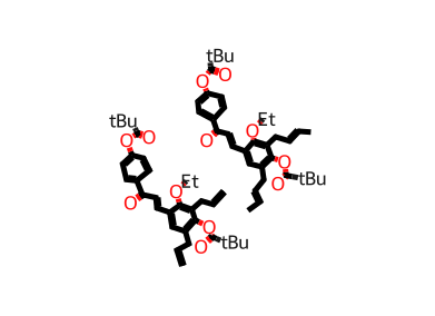 C=CCc1cc(C=CC(=O)c2ccc(OC(=O)C(C)(C)C)cc2)c(OCC)c(CC=C)c1OC(=O)C(C)(C)C.CC=CCc1cc(C=CC(=O)c2ccc(OC(=O)C(C)(C)C)cc2)c(OCC)c(CC=CC)c1OC(=O)C(C)(C)C